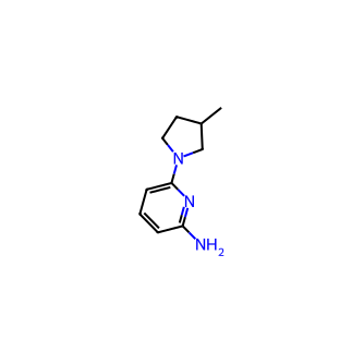 CC1CCN(c2cccc(N)n2)C1